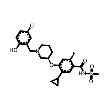 CS(=O)(=O)NC(=O)c1cc(C2CC2)c(O[C@@H]2CCCN(Cc3cc(Cl)ccc3O)C2)cc1F